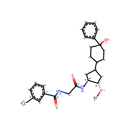 CCO[C@H]1CC(C2CCC(O)(c3ccccc3)CC2)C[C@@H]1NC(=O)CNC(=O)c1cccc(C(F)(F)F)c1